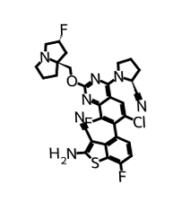 N#Cc1c(N)sc2c(F)ccc(-c3c(Cl)cc4c(N5CCC[C@H]5C#N)nc(OC[C@@]56CCCN5C[C@H](F)C6)nc4c3F)c12